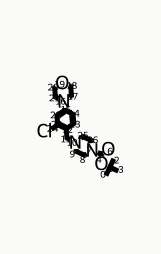 CC(C)(C)OC(=O)N1CCN(Cc2ccc(N3CCOCC3)cc2Cl)CC1